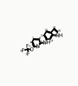 FC(F)(F)Oc1cccc(Nc2ccc3cc[nH]c3c2)n1